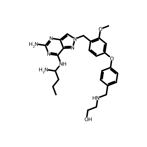 CCCC(N)Nc1nc(N)nc2cn(Cc3ccc(Oc4ccc(CNCCO)cc4)cc3OC)nc12